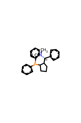 CN(C)[C@H](c1ccccc1)C1CCCC1P(c1ccccc1)c1ccccc1